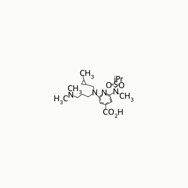 CC1CC1CN(CCCN(C)C)c1cc(C(=O)O)cc(N(C)S(=O)(=O)C(C)C)n1